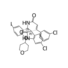 O=C1C=C(c2cccc(Cl)c2)[C@]2(C(=O)Nc3cc(Cl)ccc32)[C@H](c2cc(I)ccc2OC2CCOCC2)N1